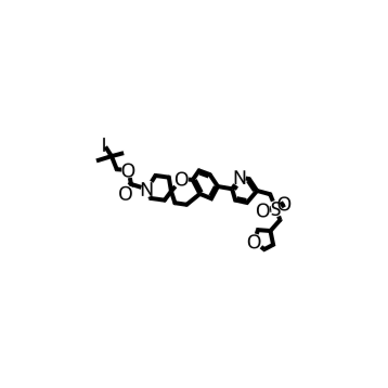 CC(C)(I)COC(=O)N1CCC2(CCc3cc(-c4ccc(CS(=O)(=O)CC5CCOC5)cn4)ccc3O2)CC1